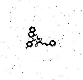 Cc1ccc(C2C3=C(N=c4o/c(=C\C=C\c5ccccc5)c(=O)n42)c2ccccc2CC3)cc1